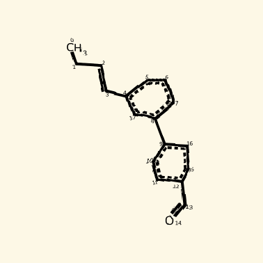 CCC=Cc1cccc(-c2ccc(C=O)cc2)c1